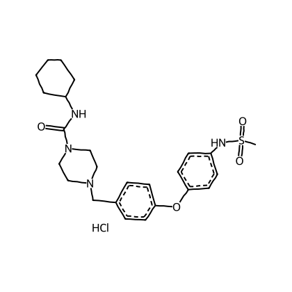 CS(=O)(=O)Nc1ccc(Oc2ccc(CN3CCN(C(=O)NC4CCCCC4)CC3)cc2)cc1.Cl